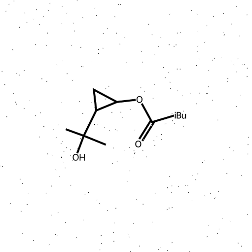 CCC(C)C(=O)OC1CC1C(C)(C)O